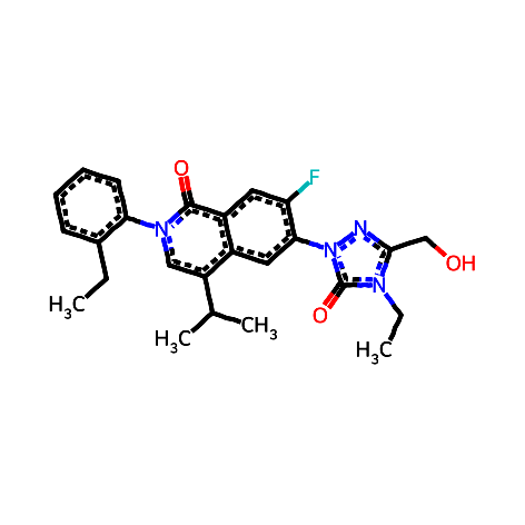 CCc1ccccc1-n1cc(C(C)C)c2cc(-n3nc(CO)n(CC)c3=O)c(F)cc2c1=O